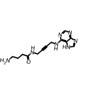 NCCCC(=O)NCC#CCNc1ncnc2nc[nH]c12